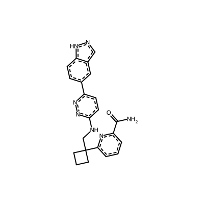 NC(=O)c1cccc(C2(CNc3ccc(-c4ccc5[nH]ncc5c4)nn3)CCC2)n1